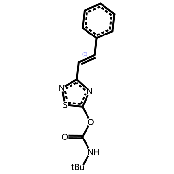 CC(C)(C)NC(=O)Oc1nc(/C=C/c2ccccc2)ns1